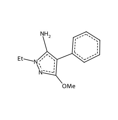 CCn1nc(OC)c(-c2ccccc2)c1N